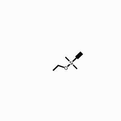 C#C[Si](C)(C)OCC